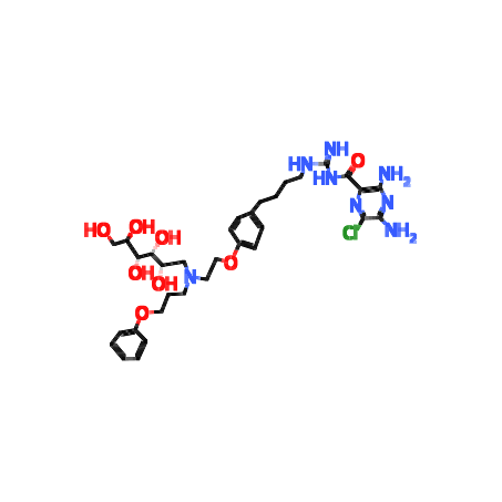 N=C(NCCCCc1ccc(OCCN(CCCOc2ccccc2)C[C@H](O)[C@@H](O)[C@H](O)[C@H](O)CO)cc1)NC(=O)c1nc(Cl)c(N)nc1N